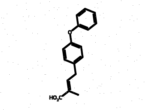 CC(=CCc1ccc(Oc2ccccc2)cc1)C(=O)O